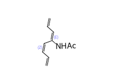 C=C/C=C\C(=C/C=C)NC(C)=O